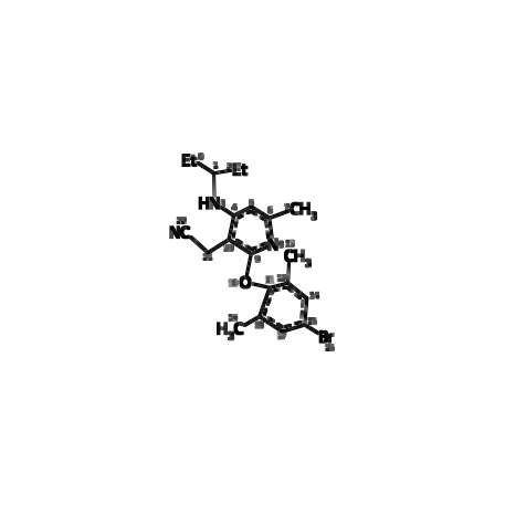 CCC(CC)Nc1cc(C)nc(Oc2c(C)cc(Br)cc2C)c1CC#N